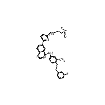 CS(=O)(=O)CCNCc1ccc(-c2ccc3ncnc(Nc4ccc(OCc5cccc(F)c5)c(C(F)(F)F)c4)c3c2)o1